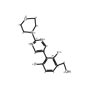 OCc1ccc(F)c(-c2cnc(N3CCOCC3)nc2)c1F